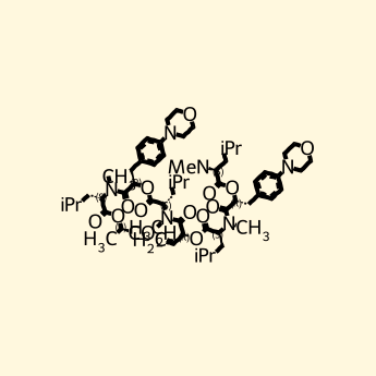 C=C[C@@H](OC(=O)[C@H](CC(C)C)N(C)C(=O)[C@@H](Cc1ccc(N2CCOCC2)cc1)OC(=O)[C@H](CC(C)C)NC)C(=O)N(C)[C@@H](CC(C)C)C(=O)O[C@H](Cc1ccc(N2CCOCC2)cc1)C(=O)N(C)[C@@H](CC(C)C)C(=O)O[C@H](C)C(=O)O